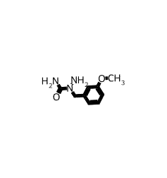 COc1cccc(CN(N)C(N)=O)c1